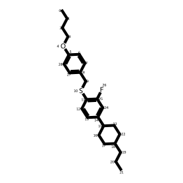 CCCCOc1ccc(CSc2ccc(C3CCC(CCC)CC3)cc2F)cc1